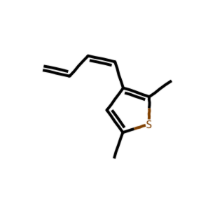 C=C/C=C\c1cc(C)sc1C